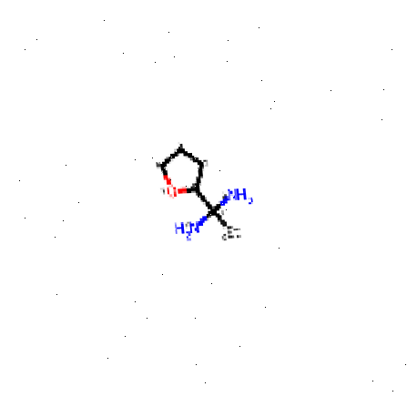 CCC(N)(N)C1CCCO1